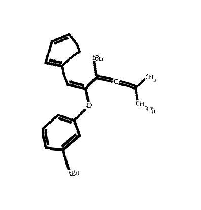 CC(C)=C=C(C(=CC1=CC=CC1)Oc1cccc(C(C)(C)C)c1)C(C)(C)C.[Ti]